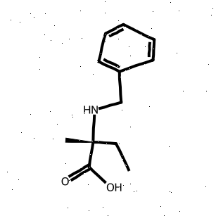 CC[C@@](C)(NCc1ccccc1)C(=O)O